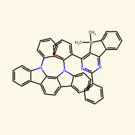 C[Si]1(C)c2ccccc2-c2nc(-c3ccccc3)nc(-c3ccccc3-n3c4ccccc4c4ccc5c6ccccc6n(-c6ccccc6)c5c43)c21